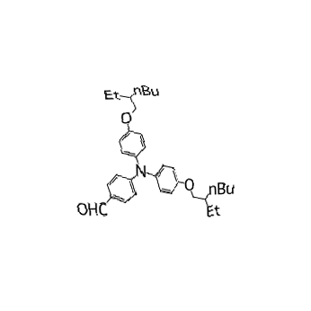 CCCCC(CC)COc1ccc(N(c2ccc(C=O)cc2)c2ccc(OCC(CC)CCCC)cc2)cc1